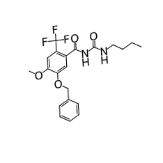 CCCCNC(=O)NC(=O)c1cc(OCc2ccccc2)c(OC)cc1C(F)(F)F